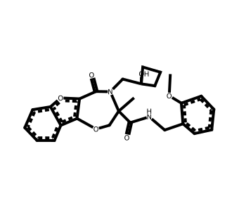 COc1ccccc1CNC(=O)C1(C)COc2c(oc3ccccc23)C(=O)N1CC1(O)CCC1